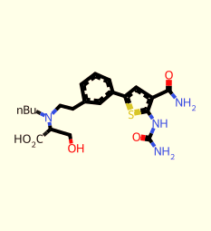 CCCCN(CCc1cccc(-c2cc(C(N)=O)c(NC(N)=O)s2)c1)C(CO)C(=O)O